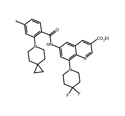 CCOC(=O)c1cnc2c(N3CCC(F)(F)CC3)cc(NC(=O)c3ccc(I)cc3N3CCC4(CC3)CC4)cc2c1